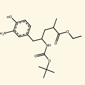 CCOC(=O)C(C)CC(Cc1ccc(O)c(N)c1)NC(=O)OC(C)(C)C